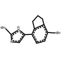 CC(C)(C)c1ncc(-c2ccc(C(C)(C)C)c3c2CCC3)[nH]1